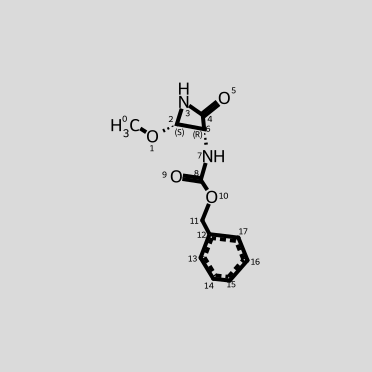 CO[C@@H]1NC(=O)[C@@H]1NC(=O)OCc1ccccc1